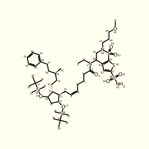 CCN(C(=O)CCC/C=C\C[C@H]1[C@@H](O[Si](C)(C)C(C)(C)C)CC(O[Si](C)(C)C(C)(C)C)[C@@H]1CC[C@H](C)CCc1ccccc1)C1CN(CCCOC)S(=O)(=O)c2sc(S(N)(=O)=O)cc21